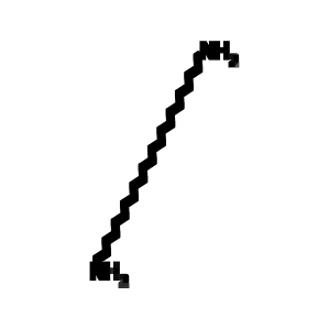 NCCCCCCCCCCCCCCCCCCCCCCCN